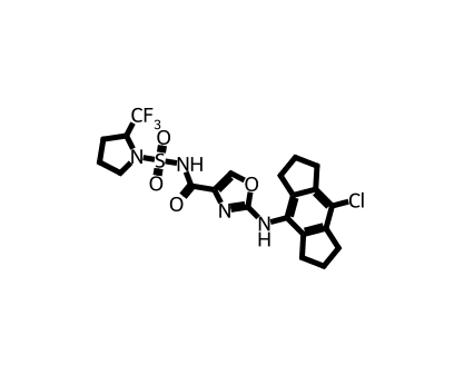 O=C(NS(=O)(=O)N1CCCC1C(F)(F)F)c1coc(Nc2c3c(c(Cl)c4c2CCC4)CCC3)n1